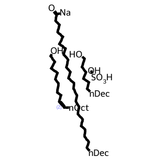 CCCCCCCC/C=C\CCCCCCCCO.CCCCCCCCCCCCCCCCCCCCCCCCCCCCCCCCC[C](=O)[Na].CCCCCCCCCCCCCCCCO.O=S(=O)(O)O